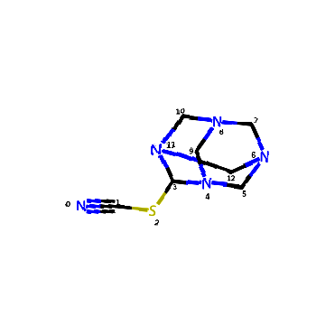 N#CSC1N2CN3CN(C2)CN1C3